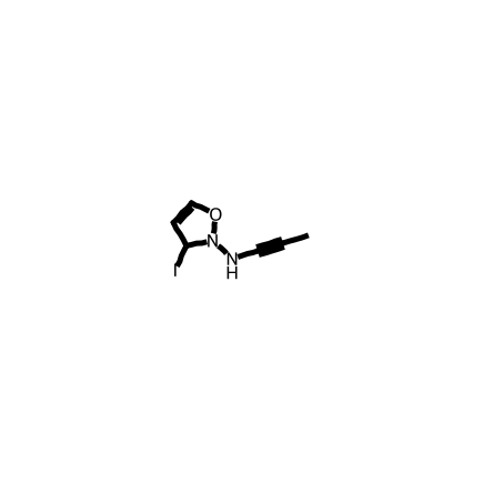 CC#CNN1OC=CC1I